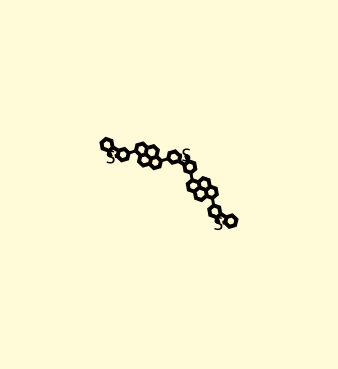 c1ccc2c(c1)sc1ccc(-c3ccc4ccc5c(-c6ccc7sc8ccc(-c9ccc%10ccc%11c(-c%12ccc%13sc%14ccccc%14c%13c%12)ccc%12ccc9c%10c%12%11)cc8c7c6)ccc6ccc3c4c65)cc12